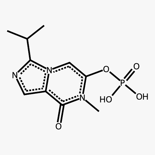 CC(C)c1ncc2c(=O)n(C)c(OP(=O)(O)O)cn12